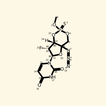 COP1(=S)OCC2(N=[N+]=[N-])O[C@@H](n3ccc(=O)[nH]c3=O)[C@H](F)[C@@H]2O1